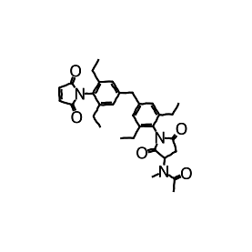 CCc1cc(Cc2cc(CC)c(N3C(=O)CC(N(C)C(C)=O)C3=O)c(CC)c2)cc(CC)c1N1C(=O)C=CC1=O